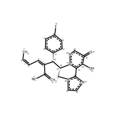 C=C(C#N)/C(=C\C=C/C)[C@H](c1ccc(F)cc1)[C@H]1Cn2ccnc2-c2c(O)c(=O)cnn21